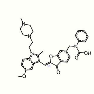 COc1ccc2c(c1)c(/C=C1\Oc3cc(CN(C(=O)O)c4ccccc4)ccc3C1=O)c(C)n2CCN1CCN(C)CC1